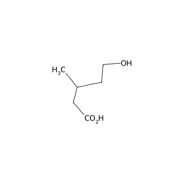 CC(CCO)CC(=O)O